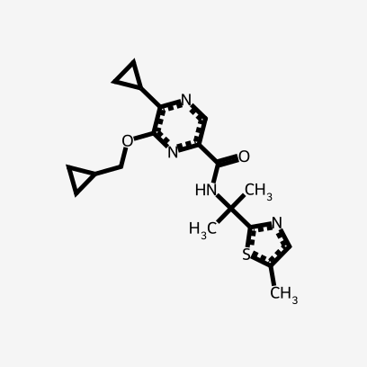 Cc1cnc(C(C)(C)NC(=O)c2cnc(C3CC3)c(OCC3CC3)n2)s1